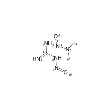 CN(C)N=O.N=C(N)NN=O